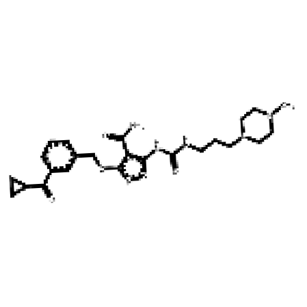 CN1CCN(CCCNC(=O)Nc2snc(OCc3cccc(C(=O)C4CC4)c3)c2C(N)=O)CC1